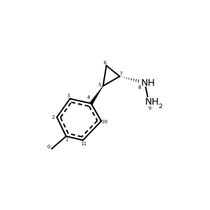 Cc1ccc([C@H]2C[C@@H]2NN)cc1